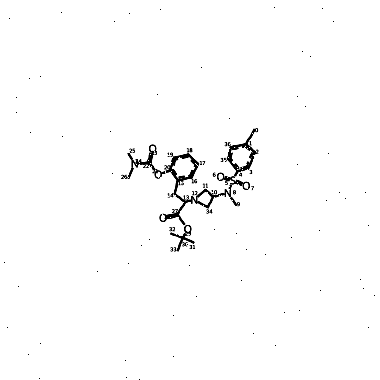 Cc1ccc(S(=O)(=O)N(C)C2CN(C(Cc3ccccc3OC(=O)N(C)C)C(=O)OC(C)(C)C)C2)cc1